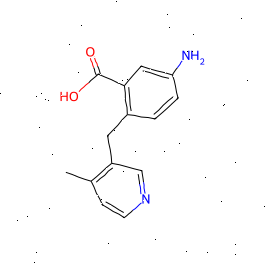 Cc1ccncc1Cc1ccc(N)cc1C(=O)O